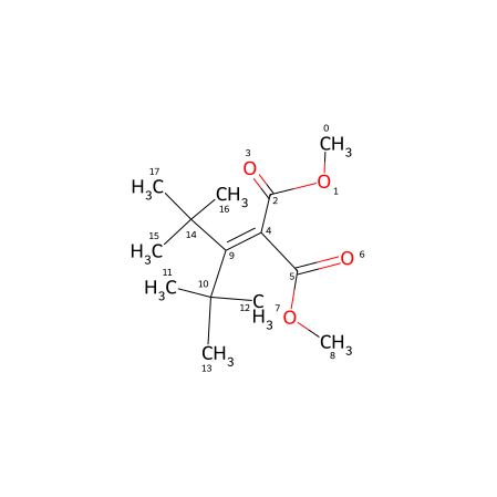 COC(=O)C(C(=O)OC)=C(C(C)(C)C)C(C)(C)C